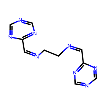 C(=N/CC/N=C\c1ncncn1)/c1ncncn1